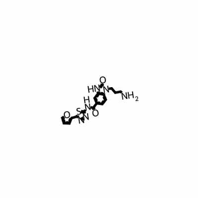 NCCCn1c(=O)[nH]c2cc(C(=O)Nc3nnc(-c4ccco4)s3)ccc21